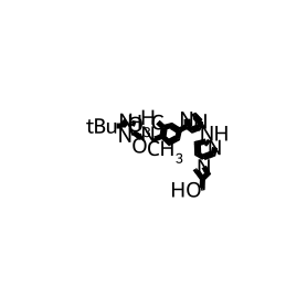 Cc1cc(-c2cc(Nc3ccc(N4CC(CO)C4)cn3)ncn2)ccc1[C@@H](C)NC(=O)c1nc(C(C)(C)C)no1